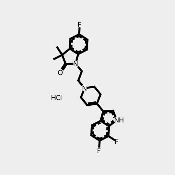 CC1(C)C(=O)N(CCN2CC=C(c3c[nH]c4c(F)c(F)ccc34)CC2)c2ccc(F)cc21.Cl